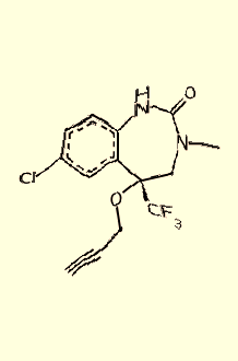 C#CCO[C@@]1(C(F)(F)F)CN(C)C(=O)Nc2ccc(Cl)cc21